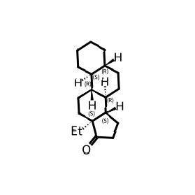 CC[C@]12CC[C@H]3[C@@H](CC[C@H]4CCCC[C@@H]43)[C@@H]1CCC2=O